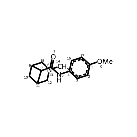 COc1ccc(NC(=O)C2C3CC2CN(C)C3)cc1